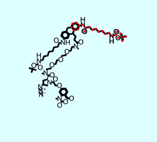 CN(CCOCCOCCOCCN(C)C(=O)[C@@H]1CC(N=[N+]=[N-])CN1C(=O)COc1ccc2c(=O)oc(=O)n(C)c2c1)C(=O)CCC12c3cc(NC(=O)CCCCCCCNC(=O)OC(C)(C)C)ccc3C(c3ccc(NC(=O)CCCCCCCNC(=O)OC(C)(C)C)cc31)c1ccc(NC(=O)CCCCCCCNC(=O)OC(C)(C)C)cc12